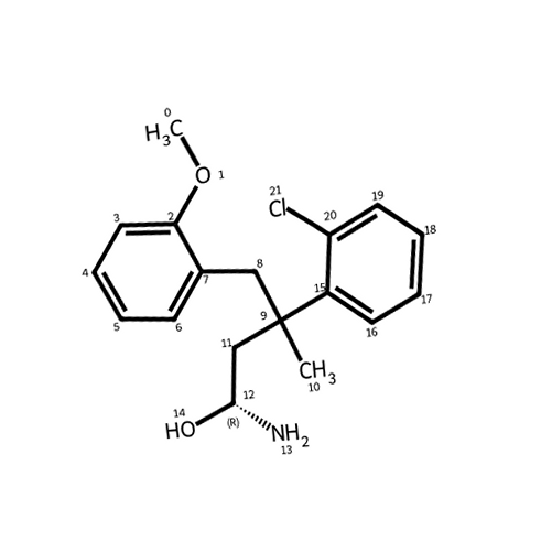 COc1ccccc1CC(C)(C[C@H](N)O)c1ccccc1Cl